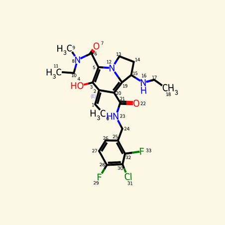 C/C=C1/C(O)=C(C(=O)N(C)CC)N2CCC(NCC)C2=C1C(=O)NCc1ccc(F)c(Cl)c1F